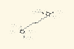 COCOc1cc(OC)c(OCOC)c(CCCCCCCC#CCCCCCCCc2c(OC)c(OCOC)cc(OC)c2OCOC)c1OC